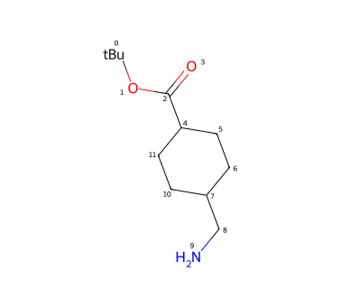 CC(C)(C)OC(=O)C1CCC(CN)CC1